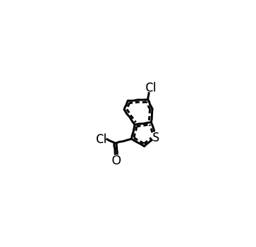 O=C(Cl)c1csc2cc(Cl)ccc12